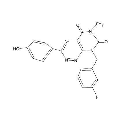 Cn1c(=O)c2nc(-c3ccc(O)cc3)nnc2n(Cc2cccc(F)c2)c1=O